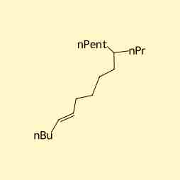 CCCCC=CCCCCC(CCC)CCCCC